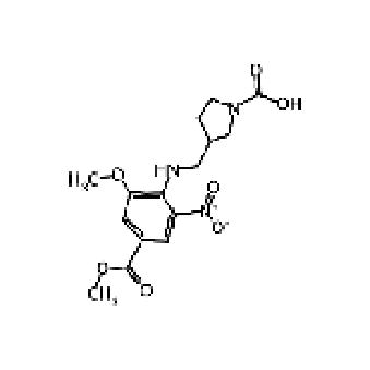 COC(=O)c1cc(OC)c(NCC2CCN(C(=O)O)C2)c([N+](=O)[O-])c1